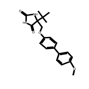 COc1ccc(-c2ccc(OCC3(C(C)(C)C)NC(=O)NC3=O)cc2)cc1